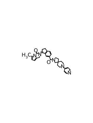 Cc1ccc2n1C(=O)N([C@@H]1CCc3ccc(C(=O)N4CCC5(CCN(c6ccncc6)CC5)C4)cc31)C2